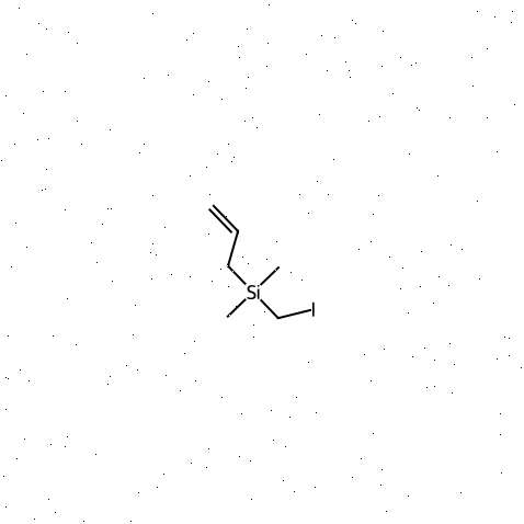 C=CC[Si](C)(C)CI